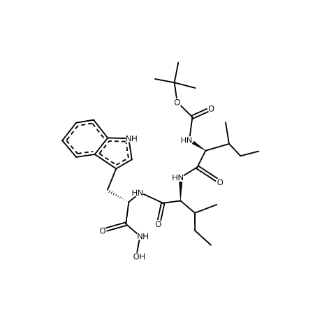 CCC(C)[C@H](NC(=O)OC(C)(C)C)C(=O)N[C@H](C(=O)N[C@@H](Cc1c[nH]c2ccccc12)C(=O)NO)C(C)CC